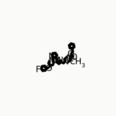 C[C@H]1CN(Cc2ccn(-c3cccnc3N3CCC(Oc4ccc(F)cc4)CC3)n2)CCN1C(=O)OCc1ccccc1